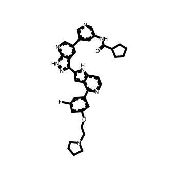 O=C(Nc1cncc(-c2cnc3[nH]nc(-c4cc5c(-c6cc(F)cc(OCCN7CCCC7)c6)nccc5[nH]4)c3c2)c1)C1CCCC1